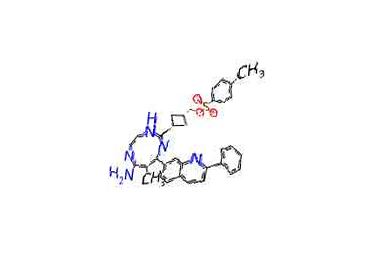 Cc1ccc(S(=O)(=O)OC[C@H]2C[C@H](c3nc(-c4ccc5ccc(-c6ccccc6)nc5c4)c(C)c(N)ncc[nH]3)C2)cc1